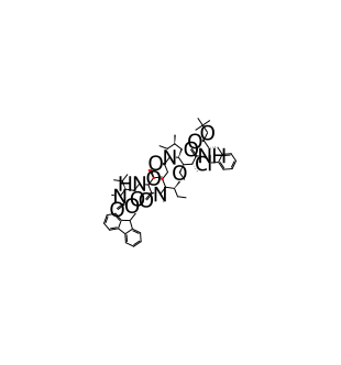 CC[C@H](C)C(C(CC(=O)N1C(C)[C@@H](C)C[C@H]1[C@H](OC)[C@@H](C)C(=O)N[C@@H](Cc1ccccc1Cl)C(=O)OC(C)(C)C)OC)N(C)C(=O)[C@@H](NC(=O)[C@H](C(C)C)N(C)C(=O)OCC1c2ccccc2-c2ccccc21)C(C)C